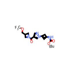 CC(C)(C)OC(=O)NC12CC(n3cc(C(=O)N4CC(COC(F)(F)F)C4)cn3)(C1)C2